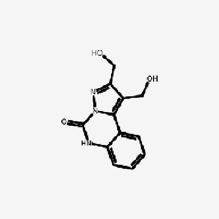 O=c1[nH]c2ccccc2c2c(CO)c(CO)nn12